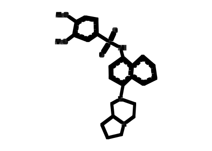 COc1ccc(S(=O)(=O)Nc2ccc(N3CCN4CCCC4C3)c3ccccc23)cc1OC